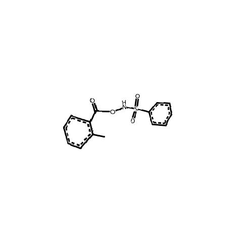 Cc1ccccc1C(=O)ONS(=O)(=O)c1ccccc1